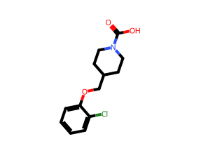 O=C(O)N1CCC(COc2ccccc2Cl)CC1